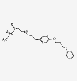 O=C(CCNCCCc1ccc(OCCCOc2ccccc2)cc1)OC(=O)C(F)(F)F